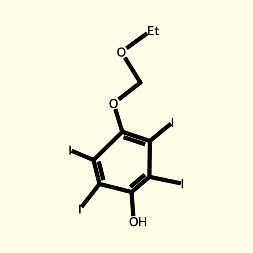 CCOCOc1c(I)c(I)c(O)c(I)c1I